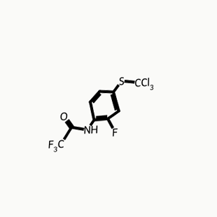 O=C(Nc1ccc(SC(Cl)(Cl)Cl)cc1F)C(F)(F)F